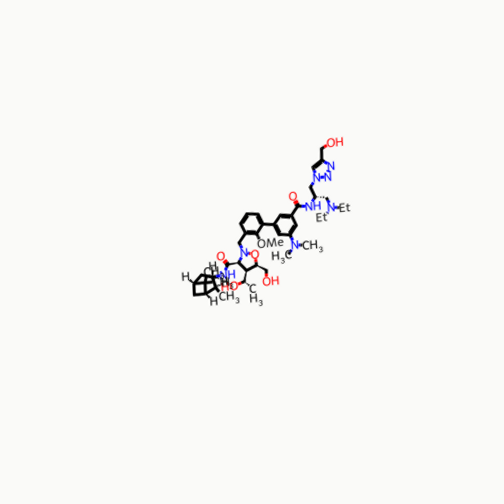 CCN(CC)C[C@@H](Cn1cc(CO)nn1)NC(=O)c1cc(-c2cccc(CN3O[C@@H](CO)[C@@H]([C@H](C)O)[C@H]3C(=O)N[C@H]3C[C@H]4C[C@@H]([C@@H]3C)C4(C)C)c2OC)cc(N(C)C)c1